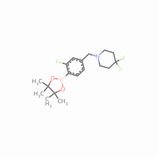 CC1(C)OB(c2ccc(CN3CCC(F)(F)CC3)cc2F)OC1(C)C